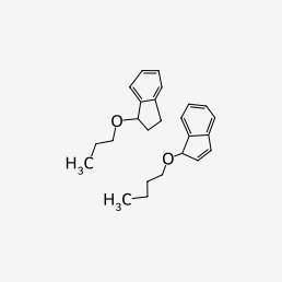 CCCCOC1C=Cc2ccccc21.CCCOC1CCc2ccccc21